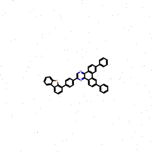 c1ccc(-c2ccc3c(c2)c2cc(-c4ccccc4)ccc2c2nc(-c4ccc(-c5cccc6c5sc5ccccc56)cc4)cnc32)cc1